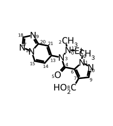 CCN(C)N(C(=O)c1c(C(=O)O)cnn1C)c1ccn2ncnc2c1